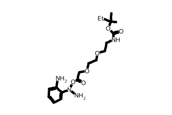 CCC(C)(C)OC(=O)NCCOCCOCC(=O)ON(N)c1ccccc1N